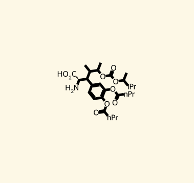 CCCC(=O)Oc1ccc(C(C(C)C(C)OC(=O)OC(C)C(C)C)[C@H](N)C(=O)O)cc1OC(=O)CCC